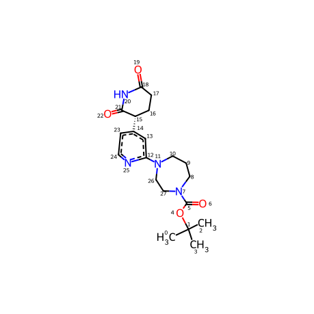 CC(C)(C)OC(=O)N1CCCN(c2cc([C@H]3CCC(=O)NC3=O)ccn2)CC1